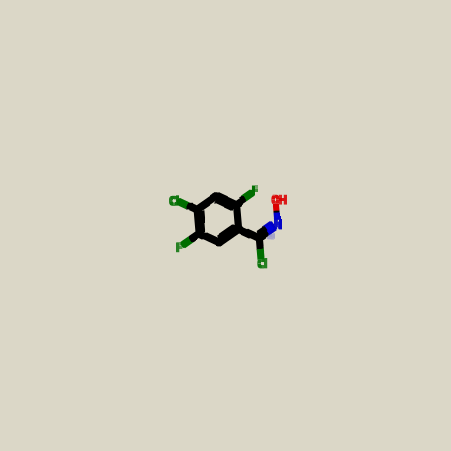 O/N=C(/Cl)c1cc(F)c(Cl)cc1F